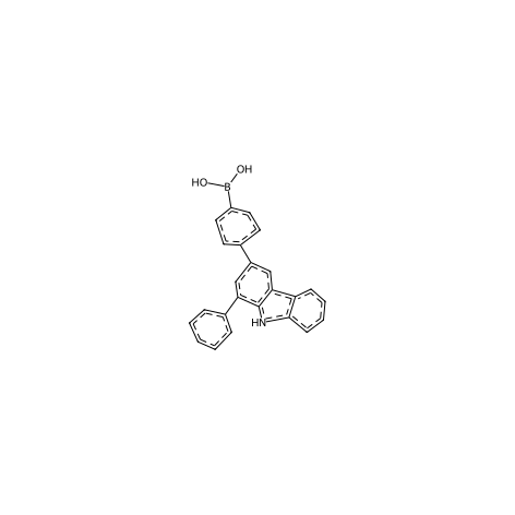 OB(O)c1ccc(-c2cc(-c3ccccc3)c3[nH]c4ccccc4c3c2)cc1